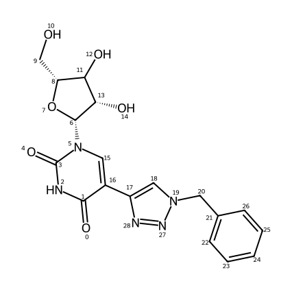 O=c1[nH]c(=O)n([C@@H]2O[C@H](CO)C(O)[C@@H]2O)cc1-c1cn(Cc2ccccc2)nn1